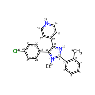 CCn1c(-c2ccccc2C)nc(-c2ccncc2)c1-c1ccc(Cl)cc1